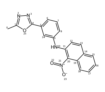 Cc1nnc(-c2cccc(Nc3ccc4ccccc4c3[N+](=O)[O-])c2)o1